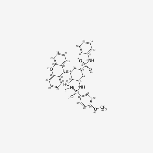 CN=S(=O)(NC1CN(S(=O)(=O)Nc2ccccc2)CC(N2c3ccccc3Oc3ccccc32)C1O)c1ccc(OC(F)(F)F)cc1